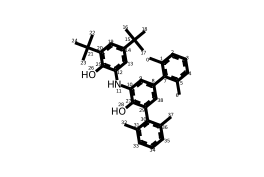 Cc1cccc(C)c1-c1cc(Nc2cc(C(C)(C)C)cc(C(C)(C)C)c2O)c(O)c(-c2c(C)cccc2C)c1